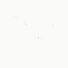 CC1CN([C]=O)CC(C)N1